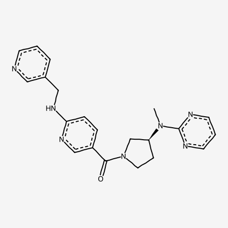 CN(c1ncccn1)[C@H]1CCN(C(=O)c2ccc(NCc3cccnc3)nc2)C1